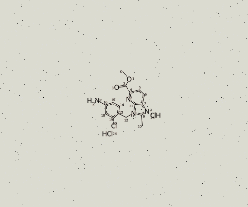 COC(=O)c1ccc2nc(C)n(Cc3ccc(N)cc3Cl)c2n1.Cl.Cl